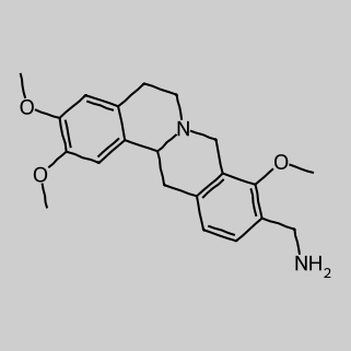 COc1cc2c(cc1OC)C1Cc3ccc(CN)c(OC)c3CN1CC2